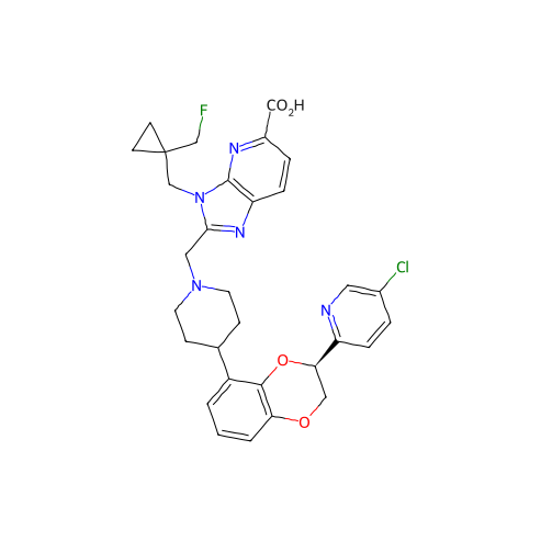 O=C(O)c1ccc2nc(CN3CCC(c4cccc5c4O[C@@H](c4ccc(Cl)cn4)CO5)CC3)n(CC3(CF)CC3)c2n1